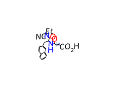 CCN(C#N)C(=O)C(Cc1ccc2ccccc2c1)NC(=O)/C=C/C(=O)O